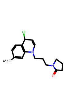 COc1ccc2c(c1)N(CCCN1CCCC1=O)C=CC2Cl